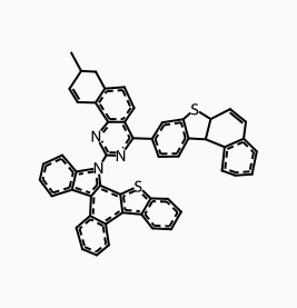 CC1C=Cc2c(ccc3c(-c4ccc5c(c4)SC4C=Cc6ccccc6C54)nc(-n4c5ccccc5c5c6ccccc6c6c7ccccc7sc6c54)nc23)C1